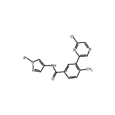 Cc1ccc(C(=O)Nc2cnn(C(C)C)c2)cc1-c1cncc(Cl)n1